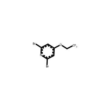 FC(F)(F)COc1cc(Br)nc(Br)c1